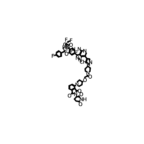 C[C@H](Oc1cc(-c2nn(C)c3c(-c4cnn(C5CCN(C(=O)COC6CCN(c7cccc8c7C(=O)N(C7CCC(=O)NC7=O)C8=O)CC6)CC5)c4)cnc(N)c23)ccc1NS(=O)(=O)C(F)F)c1ccc(F)cc1